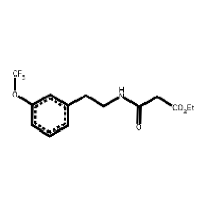 CCOC(=O)CC(=O)NCCc1cccc(OC(F)(F)F)c1